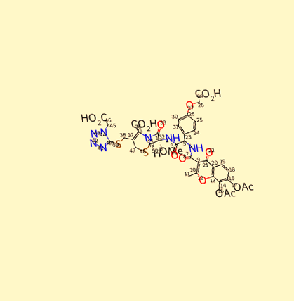 CO[C@@]1(NC(=O)C(NC(=O)c2c(C)oc3c(OC(C)=O)c(OC(C)=O)ccc3c2=O)c2ccc(OCC(=O)O)cc2)C(=O)N2C(C(=O)O)=C(CSc3nnnn3CC(=O)O)CS[C@@H]21